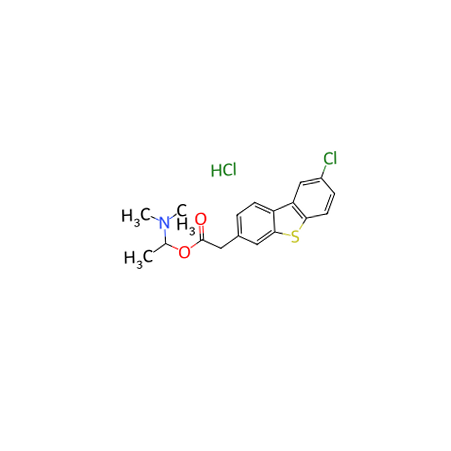 CC(OC(=O)Cc1ccc2c(c1)sc1ccc(Cl)cc12)N(C)C.Cl